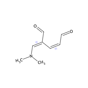 CN(C)/C=C(C=O)\C=C/C=O